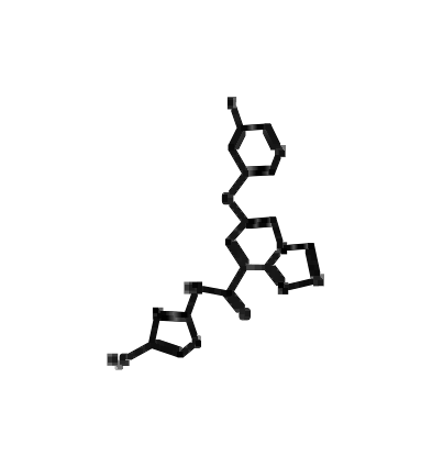 Cc1csc(NC(=O)c2cc(Oc3cncc(F)c3)cn3cnnc23)n1